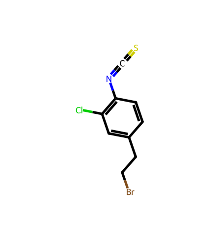 S=C=Nc1ccc(CCBr)cc1Cl